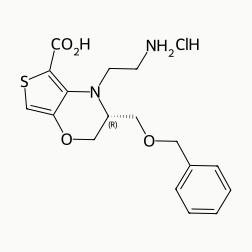 Cl.NCCN1c2c(csc2C(=O)O)OC[C@H]1COCc1ccccc1